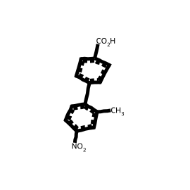 Cc1cc([N+](=O)[O-])ccc1-c1ccc(C(=O)O)cc1